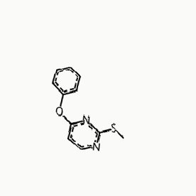 CSc1nccc(Oc2ccccc2)n1